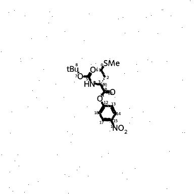 CSCC[C@@H](NC(=O)OC(C)(C)C)C(=O)Oc1ccc([N+](=O)[O-])cc1